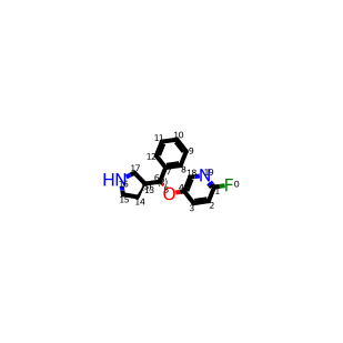 Fc1ccc(O[C@@H](c2ccccc2)[C@H]2CCNC2)cn1